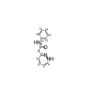 O=C(CC1=NNC=CC=C1)Nc1ccccc1